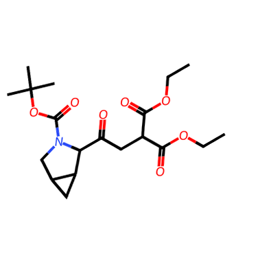 CCOC(=O)C(CC(=O)C1C2CC2CN1C(=O)OC(C)(C)C)C(=O)OCC